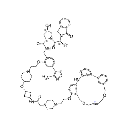 Cc1ncsc1-c1ccc(CNC(=O)[C@@H]2C[C@@H](O)CN2C(=O)[C@H](C(C)C)N2Cc3ccccc3C2=O)c(OCCN2CCC(O[C@H]3C[C@H](NC(=O)CN4CCN(CCOc5ccc6cc5COC/C=C/COCc5cccc(c5)-c5ccnc(n5)N6)CC4)C3)CC2)c1